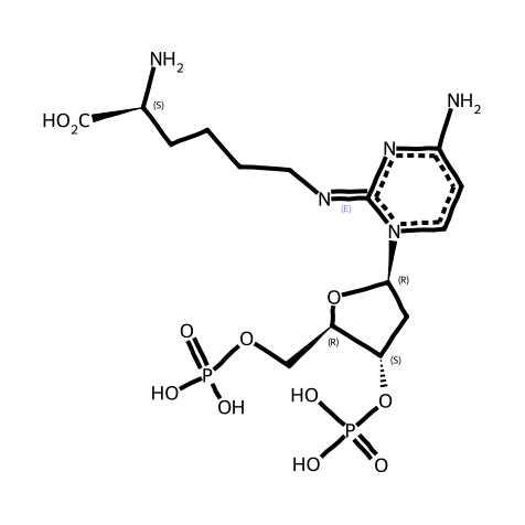 Nc1ccn([C@H]2C[C@H](OP(=O)(O)O)[C@@H](COP(=O)(O)O)O2)/c(=N/CCCC[C@H](N)C(=O)O)n1